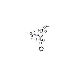 CCOC(=O)/C(=C/[C@@H]1C[C@H](NC(=O)OC(C)(C)C)CC[C@@H]1NC(=O)OCc1ccccc1)CC